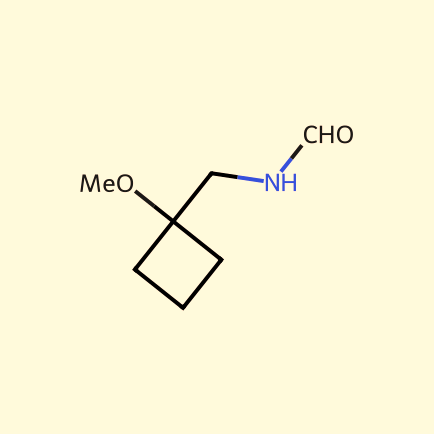 COC1(CNC=O)CCC1